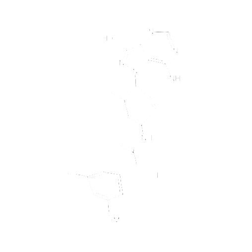 COc1cc(Cl)cc([C@@H](O)C(=O)Nc2ccc(-n3nc(C)c4ncnc(N)c43)c(Cl)c2)c1